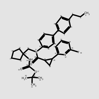 CCCc1ccc(-c2ccc(N(CC3(NC(=O)OC(C)(C)C)CCCC3)C(=O)C3CC3c3cccc(F)n3)cc2)cc1